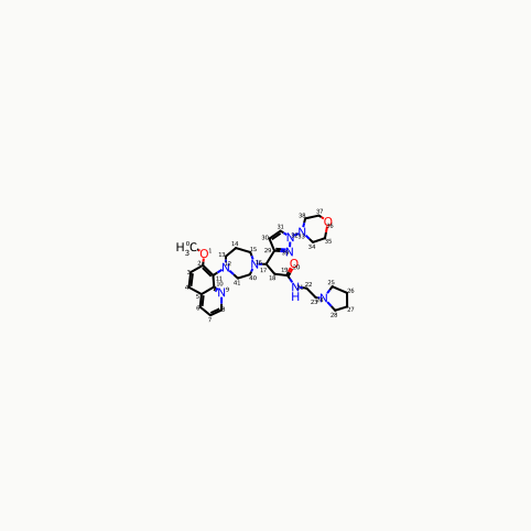 COc1ccc2cccnc2c1N1CCCN(C(CC(=O)NCCN2CCCC2)c2ccn(N3CCOCC3)n2)CC1